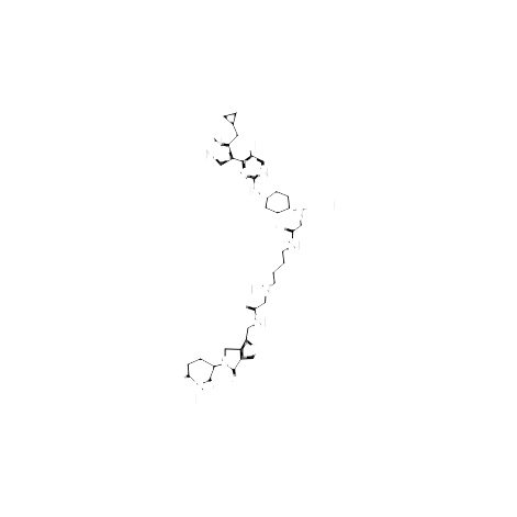 Cn1ncc(-c2nc(N[C@H]3CC[C@H](N(CC(=O)NCCCCNCC(=O)NCc4scc5c4CN(C4CCC(=O)NC4=O)C5=O)C(=O)O)CC3)ncc2Cl)c1CC1CC1